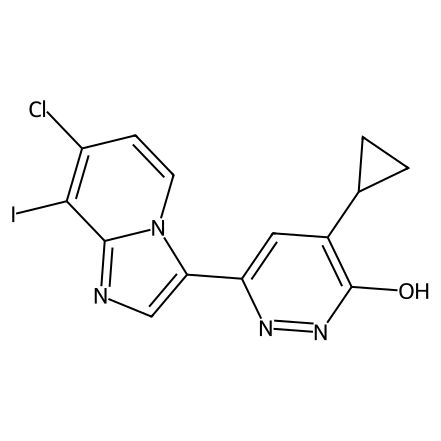 Oc1nnc(-c2cnc3c(I)c(Cl)ccn23)cc1C1CC1